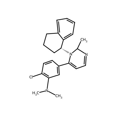 CC1N=CC=C(c2ccc(Cl)c(N(C)C)c2)N1[C@@H]1CCCc2ccccc21